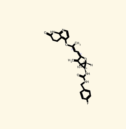 C=C1/C(=C\C=C(/C)Oc2ccnc3c2CCC(=O)N3)O[C@@H]2[C@@H](NC(=O)NCc3ccc(F)cc3)[C@H]12